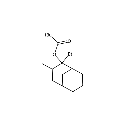 CCC1(OC(=O)C(C)(C)C)C(C)CC2CCCC1C2